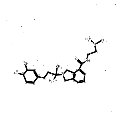 CN(C)CCNC(=O)c1cccc2c1CN(C(C)(C)CCC1=CC(O)C(O)C=C1)C2